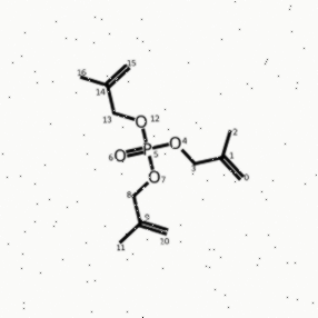 C=C(C)COP(=O)(OCC(=C)C)OCC(=C)C